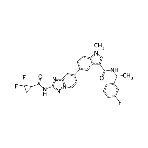 CC(NC(=O)c1cn(C)c2ccc(-c3ccn4nc(NC(=O)C5CC5(F)F)nc4c3)cc12)c1cccc(F)c1